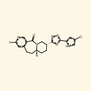 O=C1c2cnc(F)cc2CC[C@H]2CC[C@@H](c3noc(-c4cc(Cl)c[nH]4)n3)CN12